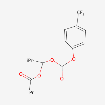 CC(C)C(=O)OC(OC(=O)Oc1ccc(C(F)(F)F)cc1)C(C)C